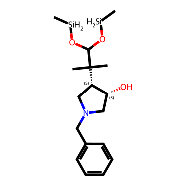 C[SiH2]OC(O[SiH2]C)C(C)(C)[C@H]1CN(Cc2ccccc2)C[C@H]1O